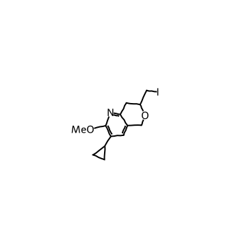 COc1nc2c(cc1C1CC1)COC(CI)C2